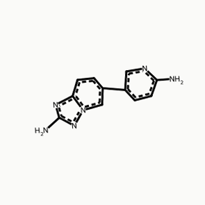 Nc1ccc(-c2ccc3nc(N)nn3c2)cn1